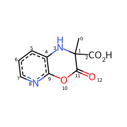 CC1(C(=O)O)Nc2cccnc2OC1=O